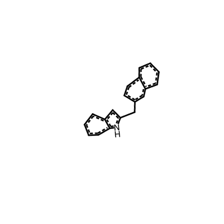 c1ccc2cc(Cc3cc4ccccc4[nH]3)ccc2c1